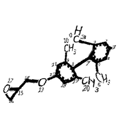 Cc1cccc(C)c1-c1c(C)cc(OCC2CO2)cc1C